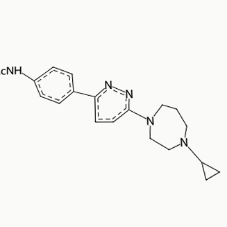 CC(=O)Nc1ccc(-c2ccc(N3CCCN(C4CC4)CC3)nn2)cc1